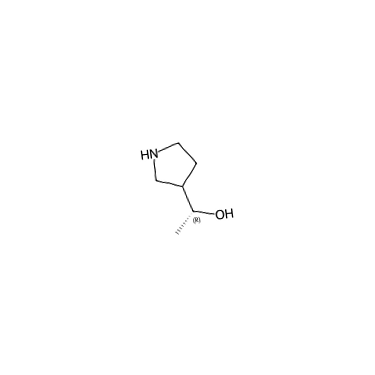 C[C@@H](O)C1CCNC1